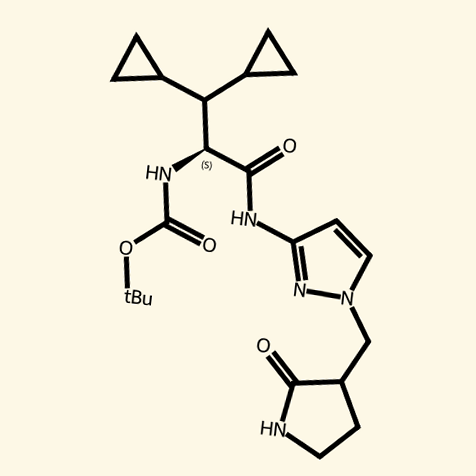 CC(C)(C)OC(=O)N[C@H](C(=O)Nc1ccn(CC2CCNC2=O)n1)C(C1CC1)C1CC1